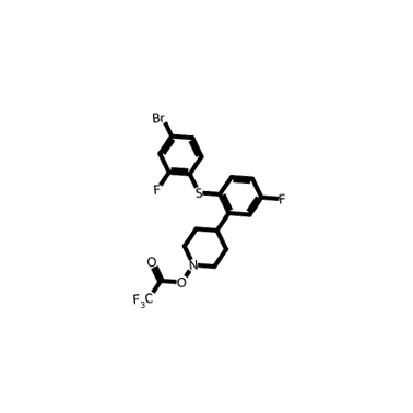 O=C(ON1CCC(c2cc(F)ccc2Sc2ccc(Br)cc2F)CC1)C(F)(F)F